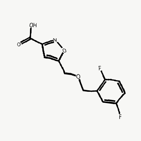 O=C(O)c1cc(COCc2cc(F)ccc2F)on1